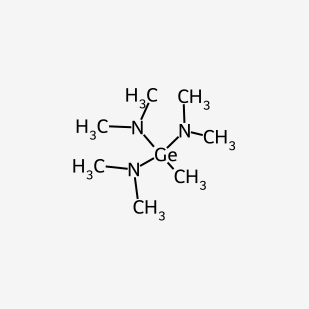 C[N](C)[Ge]([CH3])([N](C)C)[N](C)C